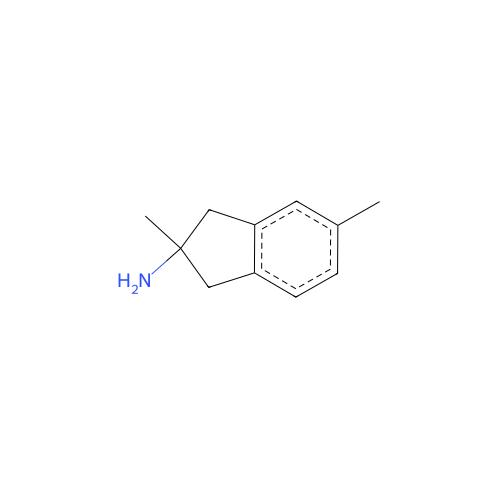 Cc1ccc2c(c1)CC(C)(N)C2